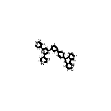 c1cc(-c2ccc(-c3cc4cccnc4c4ccccc34)cc2)cc(-c2cc(-c3ccncc3)nc(-c3ccncc3)c2)c1